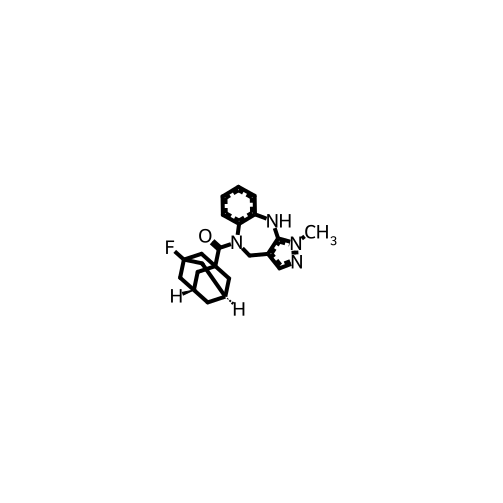 Cn1ncc2c1Nc1ccccc1N(C(=O)C13C[C@@H]4C[C@@H](CC(F)(C4)C1)C3)C2